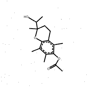 CC(=O)Oc1c(C)c(C)c2c(c1C)CCC(C)(C(C)O)O2